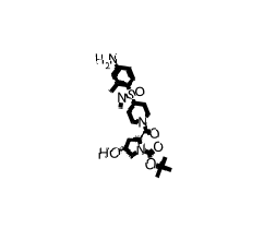 CN=S(=O)(c1ccc(N)cc1C)C1CCN(C(=O)[C@@H]2C[C@@H](O)CN2C(=O)OC(C)(C)C)CC1